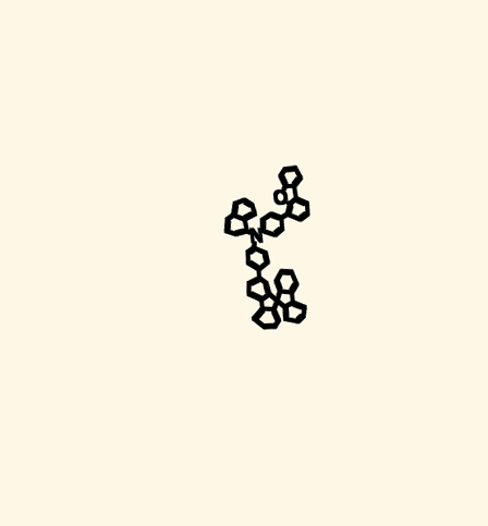 c1ccc2c(c1)-c1ccccc1C21c2ccccc2-c2ccc(-c3ccc(N(c4ccc(-c5cccc6c5oc5ccccc56)cc4)c4cccc5ccccc45)cc3)cc21